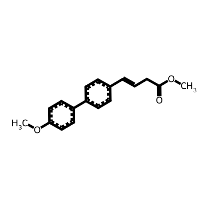 COC(=O)C/C=C/c1ccc(-c2ccc(OC)cc2)cc1